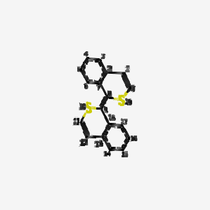 C1=Cc2ccccc2C(=C2SC=Cc3ccccc32)S1